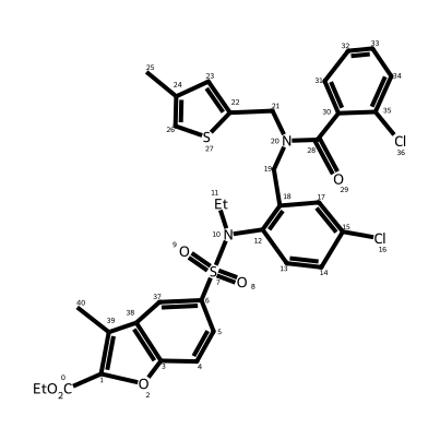 CCOC(=O)c1oc2ccc(S(=O)(=O)N(CC)c3ccc(Cl)cc3CN(Cc3cc(C)cs3)C(=O)c3ccccc3Cl)cc2c1C